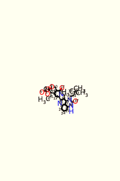 CC[C@@]1(OC(C)=O)C(=O)OCc2c1cc1n(c2=O)Cc2c-1nc1cccc3c1c2N(CCC(C)(C)C)C(=O)N3